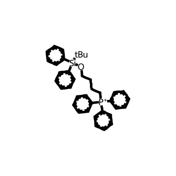 CC(C)(C)[Si](OCCCC[P+](c1ccccc1)(c1ccccc1)c1ccccc1)(c1ccccc1)c1ccccc1